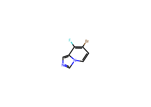 Fc1c(Br)ccn2cncc12